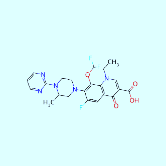 CCn1cc(C(=O)O)c(=O)c2cc(F)c(N3CCN(c4ncccn4)C(C)C3)c(OC(F)F)c21